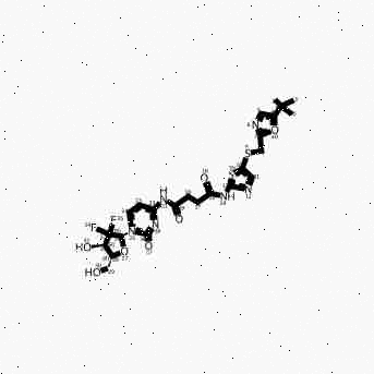 CC(C)(C)c1cnc(CSc2cnc(NC(=O)CCC(=O)Nc3ccn([C@@H]4O[C@H](CO)[C@@H](O)C4(F)F)c(=O)n3)s2)o1